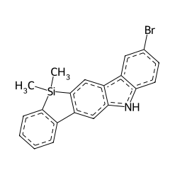 C[Si]1(C)c2ccccc2-c2cc3[nH]c4ccc(Br)cc4c3cc21